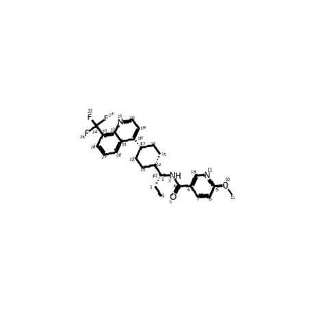 CC[C@@H](NC(=O)c1ccc(OC)nc1)[C@H]1CC[C@@H](c2ccnc3c(C(F)(F)F)cccc32)CC1